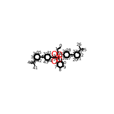 C=CCOC(Oc1ccccc1)(C(=O)Oc1ccc(-c2cccc(C(C)C)c2)cc1)c1ccc(-c2cccc(C(C)C)c2)cc1